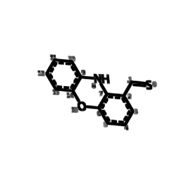 S=[C]c1cccc2c1Nc1ccccc1O2